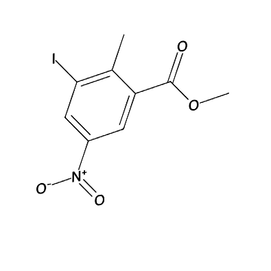 COC(=O)c1cc([N+](=O)[O-])cc(I)c1C